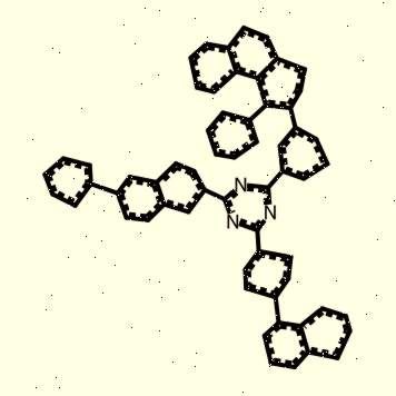 c1ccc(-c2ccc3cc(-c4nc(-c5ccc(-c6cccc7ccccc67)cc5)nc(-c5cccc(-c6ccc7ccc8ccccc8c7c6-c6ccccc6)c5)n4)ccc3c2)cc1